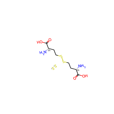 N[C@@H](CCSSCC[C@H](N)C(=O)O)C(=O)O.[S].[S]